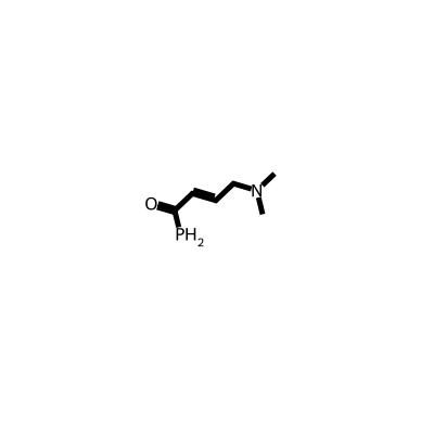 CN(C)C/C=C/C(=O)P